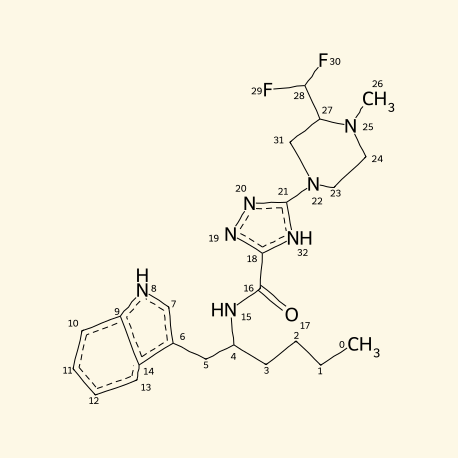 CCCCC(Cc1c[nH]c2ccccc12)NC(=O)c1nnc(N2CCN(C)C(C(F)F)C2)[nH]1